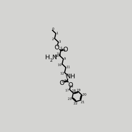 CCCCOC(=O)[C@@H](N)CCCCNC(=O)OCc1ccccc1